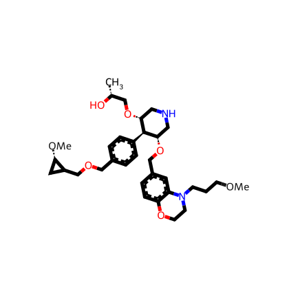 COCCCN1CCOc2ccc(CO[C@H]3CNC[C@@H](OC[C@@H](C)O)[C@@H]3c3ccc(COCC4C[C@@H]4OC)cc3)cc21